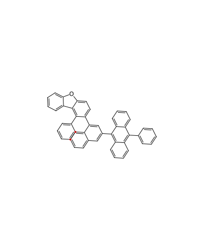 c1ccc(-c2c3ccccc3c(-c3cc(-c4ccc5oc6ccccc6c5c4-c4ccccc4)c4ccccc4c3)c3ccccc23)cc1